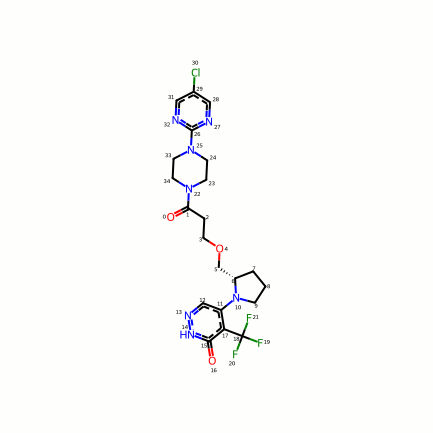 O=C(CCOC[C@@H]1CCCN1c1cn[nH]c(=O)c1C(F)(F)F)N1CCN(c2ncc(Cl)cn2)CC1